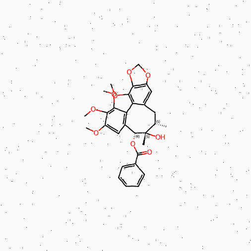 COc1cc2c(c(OC)c1OC)-c1c(cc3c(c1OC)OCO3)C[C@H](C)[C@](C)(O)[C@@H]2OC(=O)c1ccccc1